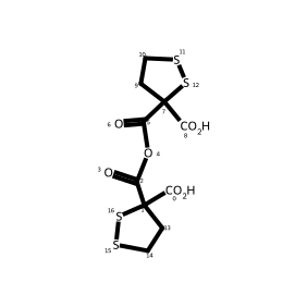 O=C(O)C1(C(=O)OC(=O)C2(C(=O)O)CCSS2)CCSS1